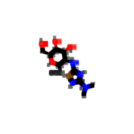 CO[C@H]1O[C@H](CO)[C@H](O)[C@H](O)[C@@H]1Nc1nc(N(C)C)ns1